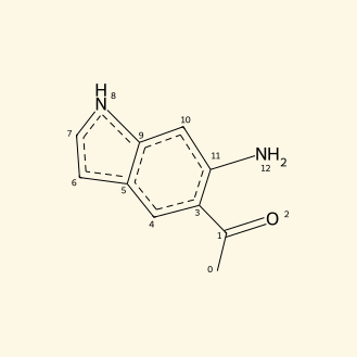 CC(=O)c1cc2cc[nH]c2cc1N